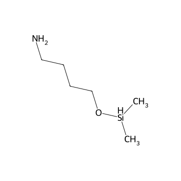 C[SiH](C)OCCCCN